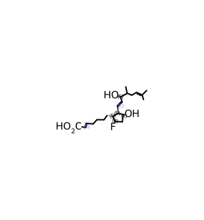 CC(C)=CCC(C)[C@H](O)/C=C/[C@@H]1[C@@H](CCCC/C=C/C(=O)O)[C@H](F)C[C@H]1O